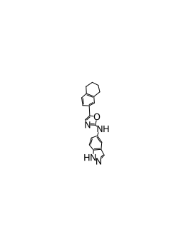 c1cc2[nH]ncc2cc1Nc1ncc(-c2ccc3c(c2)CCCC3)o1